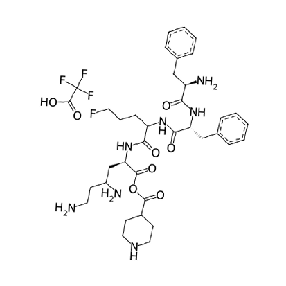 NCCC(N)C[C@@H](NC(=O)C(CCCF)NC(=O)[C@@H](Cc1ccccc1)NC(=O)[C@H](N)Cc1ccccc1)C(=O)OC(=O)C1CCNCC1.O=C(O)C(F)(F)F